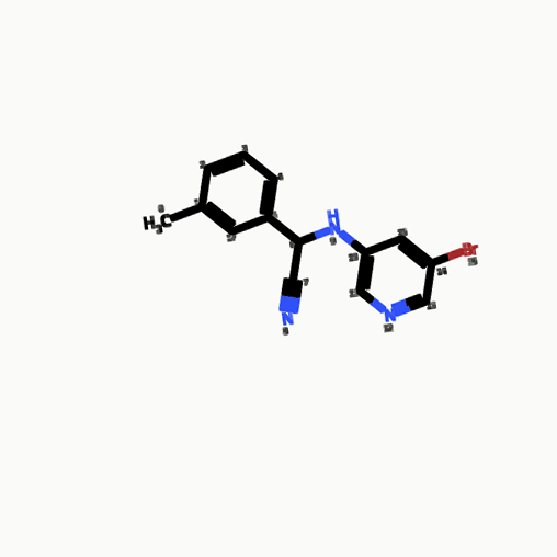 Cc1cccc(C(C#N)Nc2cncc(Br)c2)c1